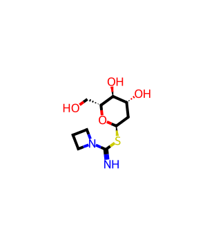 N=C(S[C@@H]1C[C@@H](O)[C@H](O)[C@@H](CO)O1)N1CCC1